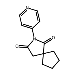 O=C1CC2(CCCC2)C(=O)N1c1ccncc1